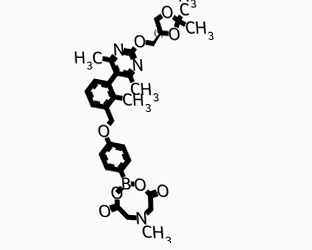 Cc1nc(OC[C@H]2COC(C)(C)O2)nc(C)c1-c1cccc(COc2ccc(B3OC(=O)CN(C)CC(=O)O3)cc2)c1C